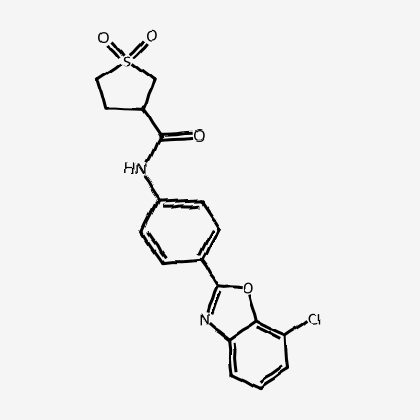 O=C(Nc1ccc(-c2nc3cccc(Cl)c3o2)cc1)C1CCS(=O)(=O)C1